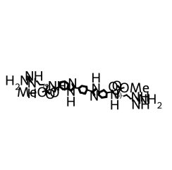 COC(=O)[C@H](CCCNC(=N)N)NC(=O)c1ccc2nc(-c3ccc(-c4nc5ccc(C(=O)N[C@@H](CCCNC(=N)N)C(=O)OC)cc5[nH]4)cc3)[nH]c2c1